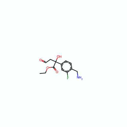 CCOC(=O)C(O)(CC=O)c1ccc(CN)c(F)c1